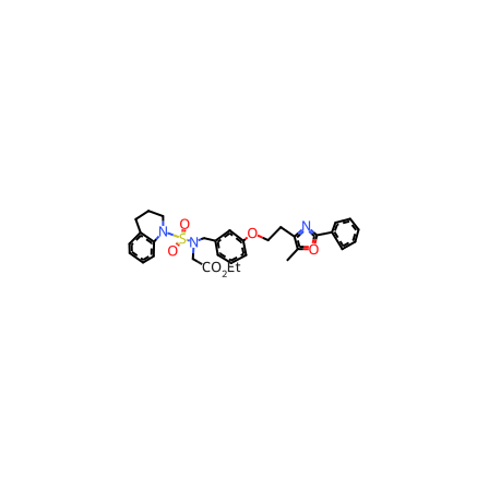 CCOC(=O)CN(Cc1cccc(OCCc2nc(-c3ccccc3)oc2C)c1)S(=O)(=O)N1CCCc2ccccc21